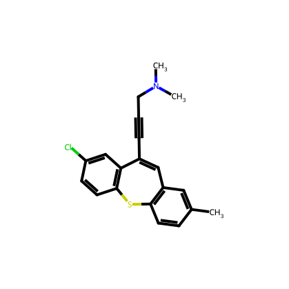 Cc1ccc2c(c1)C=C(C#CCN(C)C)c1cc(Cl)ccc1S2